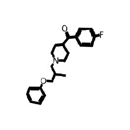 CC(COc1ccccc1)CN1CCC(C(=O)c2ccc(F)cc2)CC1